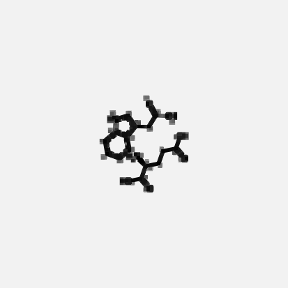 N[C@@H](CCC(=O)O)C(=O)O.O=C(O)Cc1c[nH]c2ccccc12